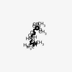 COc1cc(Cc2ccc(C(=O)NNc3cc(C)c4c(C)nn(C)c4n3)o2)c(OC)c(OC)c1